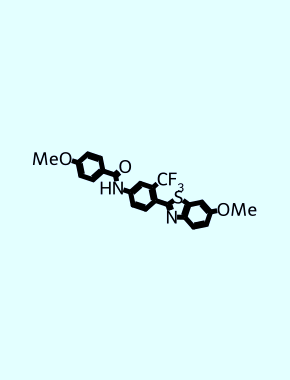 COc1ccc(C(=O)Nc2ccc(-c3nc4ccc(OC)cc4s3)c(C(F)(F)F)c2)cc1